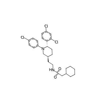 O=S(=O)(CC1CCCCC1)NCC[C@@H]1CC[C@@H](c2ccc(Cl)cc2Cl)N(c2ccc(Cl)cc2)C1